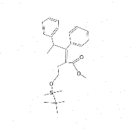 COC(=O)C(CCO[Si](C)(C)C(C)(C)C)=C(c1ccccc1)C(C)c1ccccc1